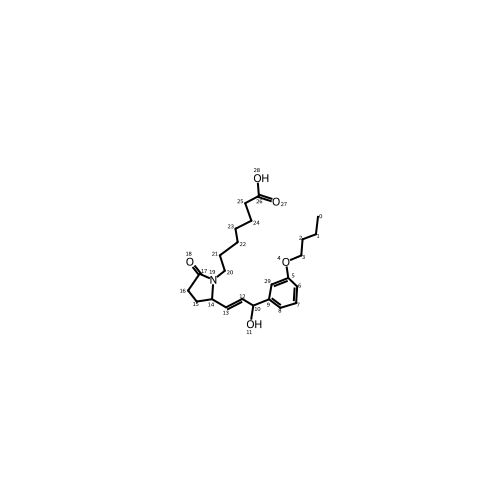 CCCCOc1cccc(C(O)C=CC2CCC(=O)N2CCCCCCC(=O)O)c1